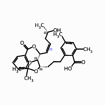 Cc1cc(C)c(C(=O)O)c(CCC[C@@H]2OC(C)(C)O[C@@H]2C(/C=C\C[C@H](C)O)OC(=O)c2ccccc2)c1